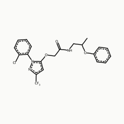 CC(CNC(=O)COc1cc(C(F)(F)F)nn1-c1ccccc1Cl)Oc1ccccc1